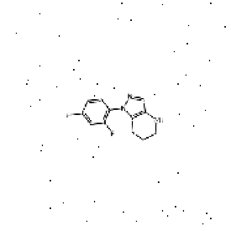 Fc1ccc(-n2ncc3c2CCCN3)c(F)c1